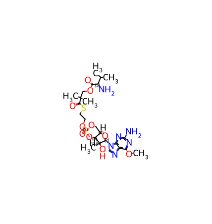 COc1nc(N)nc2c1ncn2[C@@H]1O[C@@H]2CO[P@@](=O)(OCCSC(=O)C(C)(C)COC(=O)[C@@H](N)C(C)C)O[C@H]2[C@@]1(C)O